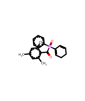 Cc1cc(C)c(C(=O)P(=O)(C2=CCCC=C2)c2ccccc2)c(C)c1